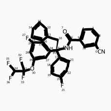 N#Cc1cccc(C(=O)N[C@](Cc2ccccc2)(c2ccc(F)cc2)c2cc(F)cc(OC(F)(F)C(F)F)c2)c1